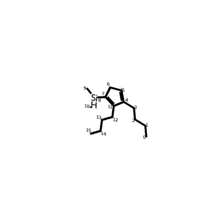 CCCCC1=[C]CC([SiH](C)C)=C1CCCC